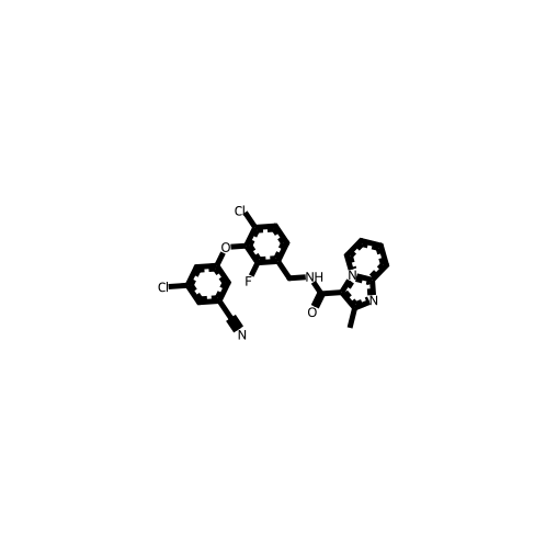 Cc1nc2ccccn2c1C(=O)NCc1ccc(Cl)c(Oc2cc(Cl)cc(C#N)c2)c1F